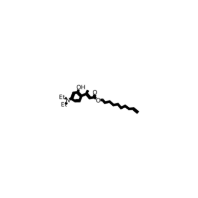 C=CCCCCCCCCOC(=O)/C=C(\C)c1ccc(N(CC)CC)cc1O